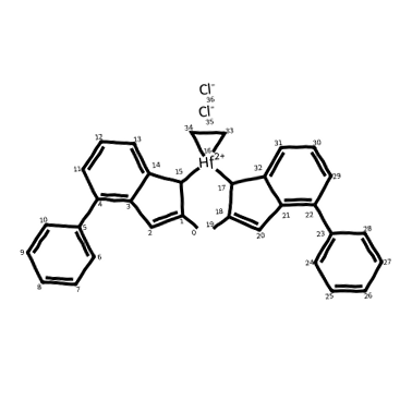 CC1=Cc2c(-c3ccccc3)cccc2[CH]1[Hf+2]1([CH]2C(C)=Cc3c(-c4ccccc4)cccc32)[CH2][CH2]1.[Cl-].[Cl-]